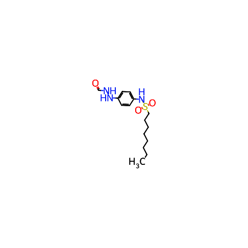 CCCCCCCCS(=O)(=O)Nc1ccc(NNC=O)cc1